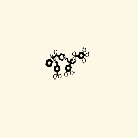 COC(=O)c1ccc(Cn2c(C(=O)C3CCN(CCC4(c5ccc(OC)c(OC)c5)CCN(C(=O)c5cc(OC)c(OC)c(OC)c5)C4)CC3)nc3ccccc32)cc1